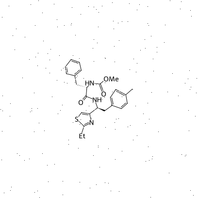 CCc1nc([C@H](Cc2ccc(C)cc2)NC(=O)[C@H](Cc2ccccc2)NC(=O)OC)cs1